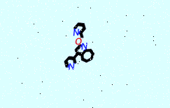 c1ccc(COc2cc(-c3cccnc3)c3c(n2)CCCCC3)nc1